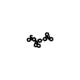 c1ccc(-n2c3ccccc3c3cc(-c4ccc(N(c5ccc6sc7ccccc7c6c5)c5cccc6ccccc56)cc4)ccc32)cc1